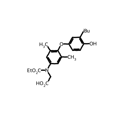 CCOC(=O)N(CC(=O)O)c1cc(C)c(Oc2ccc(O)c(C(C)CC)c2)c(C)c1